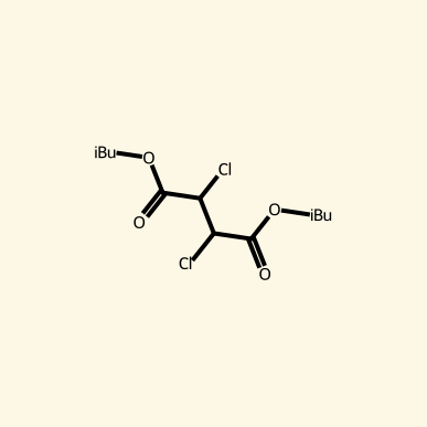 CCC(C)OC(=O)C(Cl)C(Cl)C(=O)OC(C)CC